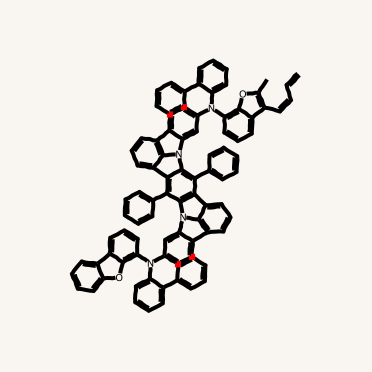 C=C/C=C\c1c(C)oc2c(N(c3ccc4c5cccc6c7c(-c8ccccc8)c8c(c(-c9ccccc9)c7n(c4c3)c56)c3cccc4c5ccc(N(c6ccccc6-c6ccccc6)c6cccc7c6oc6ccccc67)cc5n8c43)c3ccccc3-c3ccccc3)cccc12